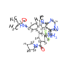 C=C(C)C(=O)Nc1ccc(-c2c(C3=CCC(C(=O)N4CCCC4)CC3(F)F)c3c(N)ncnc3n2C)cc1